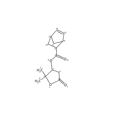 CC1(C)OC(=O)CC1OC(=O)C1CC2C=CC1C2